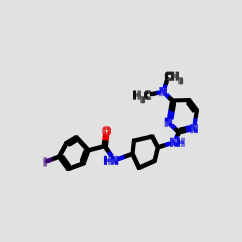 CN(C)c1ccnc(NC2CCC(NC(=O)c3ccc(I)cc3)CC2)n1